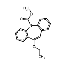 CCOC1=Cc2ccccc2N(C(=O)OC)c2ccccc21